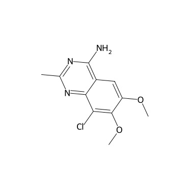 COc1cc2c(N)nc(C)nc2c(Cl)c1OC